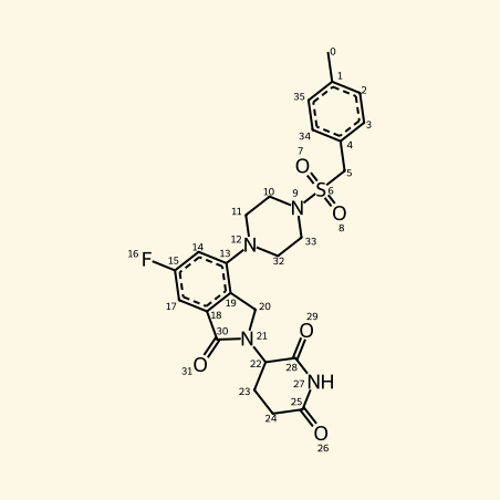 Cc1ccc(CS(=O)(=O)N2CCN(c3cc(F)cc4c3CN(C3CCC(=O)NC3=O)C4=O)CC2)cc1